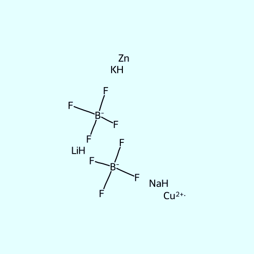 F[B-](F)(F)F.F[B-](F)(F)F.[Cu+2].[KH].[LiH].[NaH].[Zn]